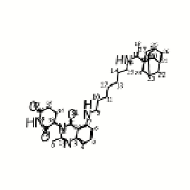 Cc1nc2cccc(NCCCCCCCNC(C)C34CC5CC(CC(C5)C3)C4)c2c(=O)n1C1CCC(=O)NC1=O